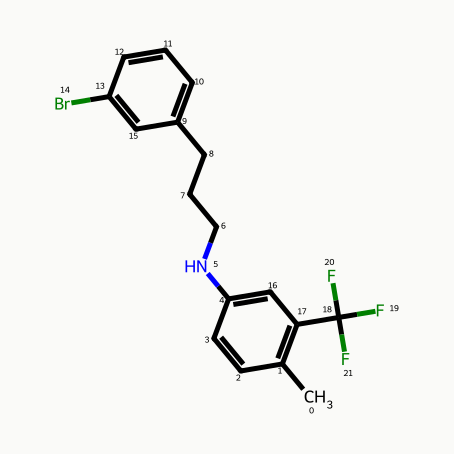 Cc1ccc(NCCCc2cccc(Br)c2)cc1C(F)(F)F